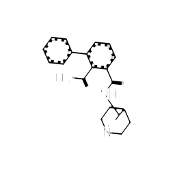 O=C(NC1CN2CCC1CC2)c1cccc(-c2ccccc2)c1C(=O)O